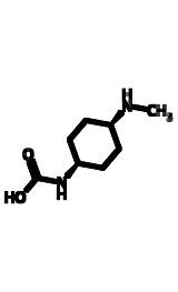 CN[C@H]1CC[C@@H](NC(=O)O)CC1